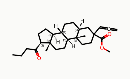 C=C=CC1(C(=O)OC)CC[C@@]2(C)[C@@H](CC[C@@H]3[C@@H]2CC[C@]2(C)[C@@H](C(=O)CCC)CC[C@@H]32)C1